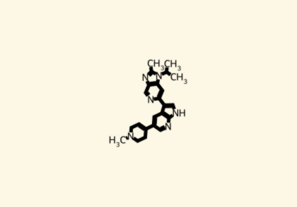 Cc1nc2cnc(-c3c[nH]c4ncc(C5=CCN(C)CC5)cc34)cc2n1C(C)C